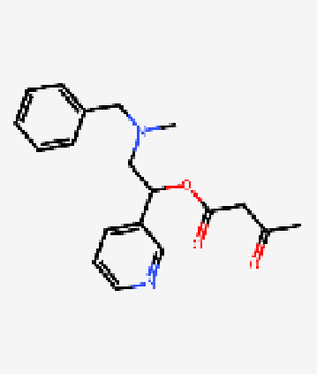 CC(=O)CC(=O)OC(CN(C)Cc1ccccc1)c1cccnc1